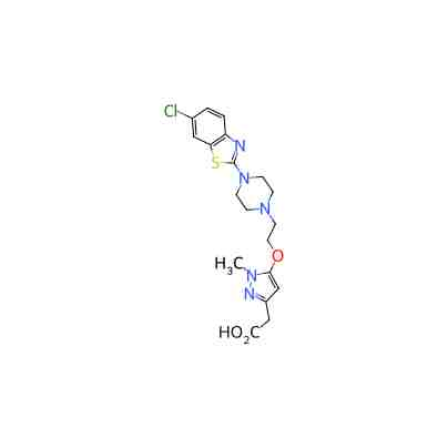 Cn1nc(CC(=O)O)cc1OCCN1CCN(c2nc3ccc(Cl)cc3s2)CC1